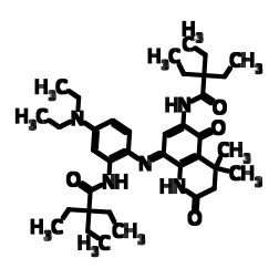 CCN(CC)c1ccc(N=C2C=C(NC(=O)C(CC)(CC)CC)C(=O)C3=C2NC(=O)CC3(C)C)c(NC(=O)C(CC)(CC)CC)c1